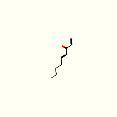 C=CC(=O)/C=C/CCCCCCCC